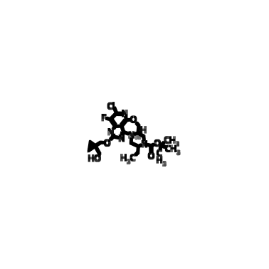 CCC1CN2c3nc(OCC4(CO)CC4)nc4c(F)c(Cl)nc(c34)OC[C@@H]2CN1C(=O)OC(C)(C)C